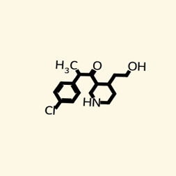 CC(C(=O)C1CNCCC1CCO)c1ccc(Cl)cc1